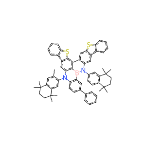 Cc1cc2c(cc1N1c3ccc(-c4ccccc4)cc3B3c4c1cc1c(sc5ccccc51)c4-c1cc4sc5ccccc5c4cc1N3c1ccc3c(c1)C(C)(C)CCC3(C)C)C(C)(C)CCC2(C)C